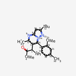 CCCC(C(=O)OC)c1c(C)nc2cc(C(C)(C)C)nn2c1-c1ccc(C)cc1OC